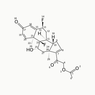 CC(=O)OCC(=O)C1=CC[C@H]2[C@@H]3C[C@H](F)C4=CC(=O)C=C[C@]4(C)[C@@]3(F)[C@@H](O)C[C@]12C